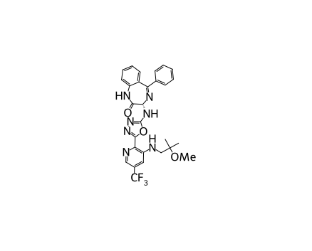 COC(C)(C)CNc1cc(C(F)(F)F)cnc1-c1nnc(N[C@H]2N=C(c3ccccc3)c3ccccc3NC2=O)o1